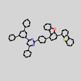 c1ccc(-c2cc(-c3ccccc3)cc(-c3cc(-c4ccccc4)nc(-c4ccc(-c5ccc(-c6cccc7c6sc6ccccc67)c6oc7ccccc7c56)cc4)n3)c2)cc1